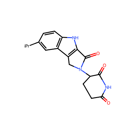 CC(C)c1ccc2[nH]c3c(c2c1)CN(C1CCC(=O)NC1=O)C3=O